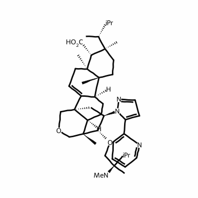 CN[C@@](C)(CO[C@H]1[C@H](n2nccc2-c2ccccn2)C[C@@]23COC[C@]1(C)[C@@H]2CC[C@H]1C3=CC[C@@]2(C)[C@H](C(=O)O)[C@@](C)([C@H](C)C(C)C)CC[C@]12C)C(C)C